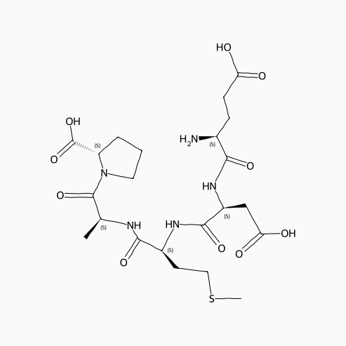 CSCC[C@H](NC(=O)[C@H](CC(=O)O)NC(=O)[C@@H](N)CCC(=O)O)C(=O)N[C@@H](C)C(=O)N1CCC[C@H]1C(=O)O